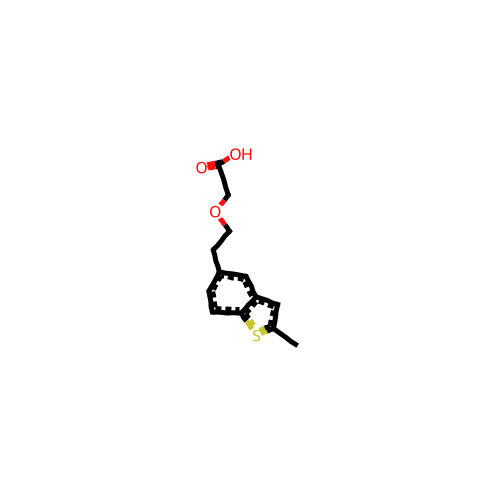 Cc1cc2cc(CCOCC(=O)O)ccc2s1